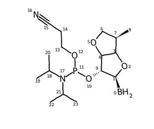 B[C@@H]1OC2C(OC[C@H]2C)[C@H]1OP(OCCC#N)N(C(C)C)C(C)C